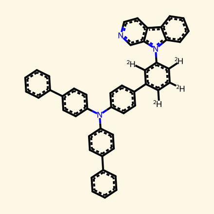 [2H]c1c([2H])c(-c2ccc(N(c3ccc(-c4ccccc4)cc3)c3ccc(-c4ccccc4)cc3)cc2)c([2H])c(-n2c3ccccc3c3ccncc32)c1[2H]